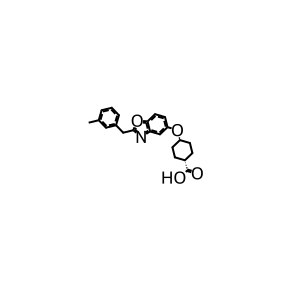 Cc1cccc(Cc2nc3cc(O[C@H]4CC[C@@H](C(=O)O)CC4)ccc3o2)c1